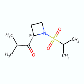 CC(C)C(=O)[C@@H]1CCN1S(=O)(=O)C(C)C